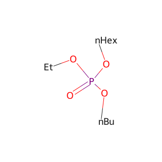 CCCCCCOP(=O)(OCC)OCCCC